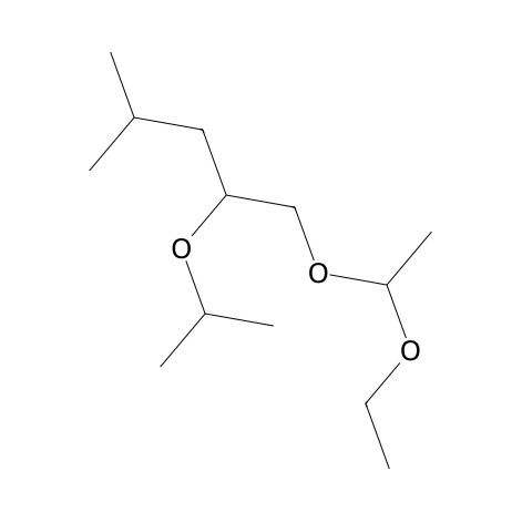 CCOC(C)OCC(CC(C)C)OC(C)C